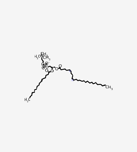 CCCCCCCCCCCCCCCC/C=C\CC/C=C\CCCC(=O)OC[C@H](COP(=O)([O-])OCC[N+](C)(C)C)OC(=O)CCCCCCCCCCCCCCC